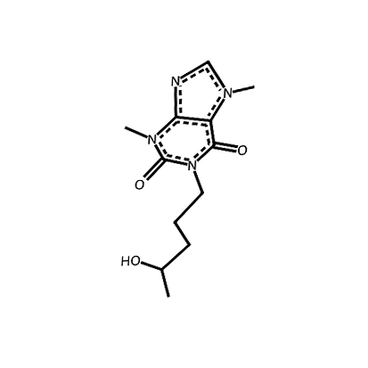 CC(O)CCCn1c(=O)c2c(ncn2C)n(C)c1=O